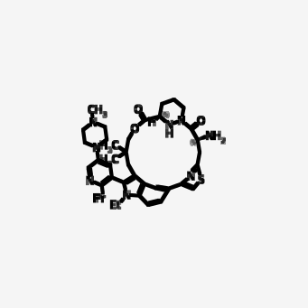 CCn1c(-c2cc(N3CCN(C)CC3)cnc2C(C)C)c2c3cc(ccc31)-c1csc(n1)C[C@H](N)C(=O)N1CCC[C@H](N1)C(=O)OCC(C)(C)C2